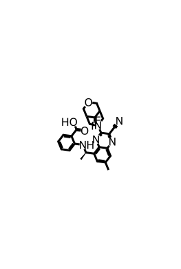 Cc1cc([C@@H](C)Nc2ccccc2C(=O)O)c2nc(N3CC4COCC(C3)C4(F)F)c(C#N)nc2c1